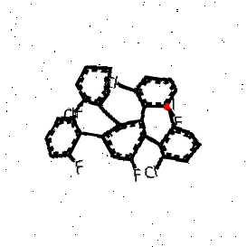 Fc1[c]c(-c2c(F)cccc2F)c(-c2ccccc2Cl)c(-c2c(F)cccc2Cl)c1-c1c(Cl)cccc1Cl